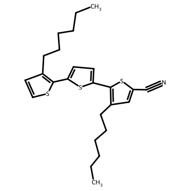 CCCCCCc1ccsc1-c1ccc(-c2sc(C#N)cc2CCCCCC)s1